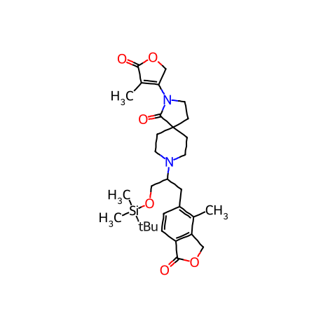 CC1=C(N2CCC3(CCN(C(CO[Si](C)(C)C(C)(C)C)Cc4ccc5c(c4C)COC5=O)CC3)C2=O)COC1=O